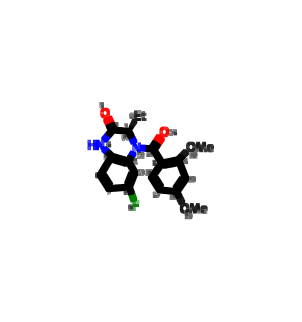 CC[C@@H]1C(=O)Nc2ccc(F)cc2N1C(=O)c1ccc(OC)cc1OC